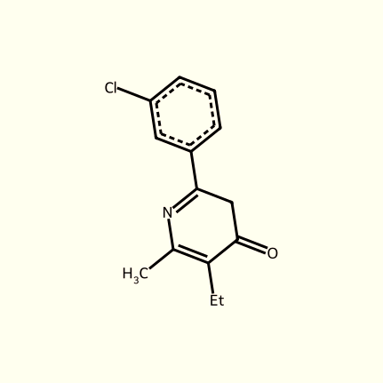 CCC1=C(C)N=C(c2cccc(Cl)c2)CC1=O